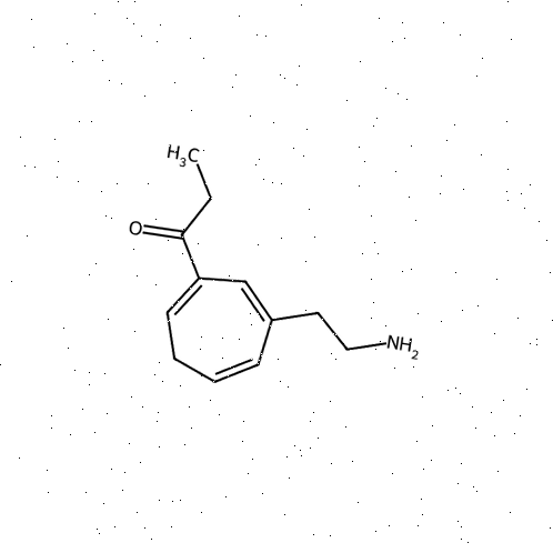 CCC(=O)C1=CCC=CC(CCN)=C1